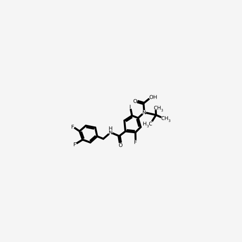 CC(C)(C)N(C(=O)O)c1cc(F)c(C(=O)NCc2ccc(F)c(F)c2)cc1I